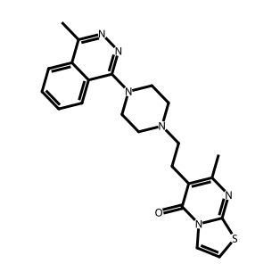 Cc1nc2sccn2c(=O)c1CCN1CCN(c2nnc(C)c3ccccc23)CC1